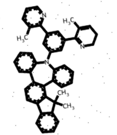 CC1=CCCN=C1c1cc(-c2ncccc2C)cc(N2c3ccccc3-c3ccc4c(c3-c3ccccc32)C(C)(C)c2ccccc2-4)c1